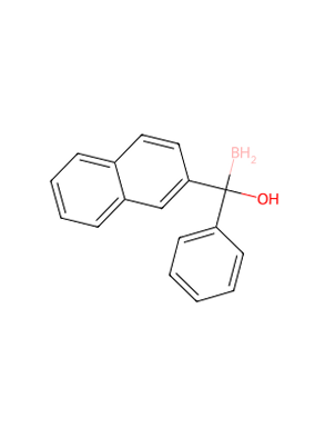 BC(O)(c1ccccc1)c1ccc2ccccc2c1